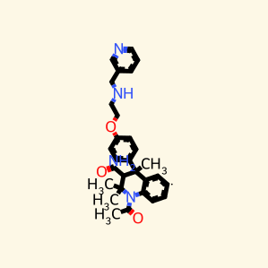 CC(=O)N1c2cc[c]cc2C(C)(c2ccc(OCCNCc3cccnc3)cc2)C(C(N)=O)C1(C)C